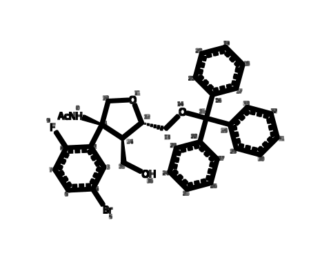 CC(=O)N[C@@]1(c2cc(Br)ccc2F)CO[C@H](COC(c2ccccc2)(c2ccccc2)c2ccccc2)[C@H]1CO